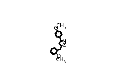 COc1ccc(C2=NOC(Cc3ccccc3OC)C2)cc1